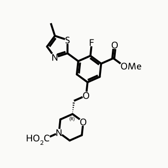 COC(=O)c1cc(OC[C@H]2CN(C(=O)O)CCO2)cc(-c2ncc(C)s2)c1F